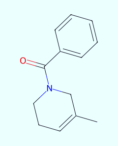 CC1=CCCN(C(=O)c2ccccc2)C1